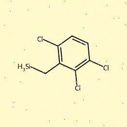 [SiH3]Cc1c(Cl)ccc(Cl)c1Cl